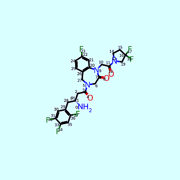 N[C@@H](CC(=O)N1CC(=O)N(CC(=O)N2CCC(F)(F)C2)c2cc(F)ccc2C1)Cc1cc(F)c(F)cc1F